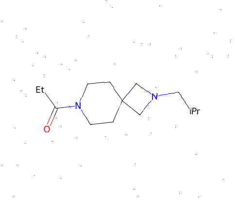 CCC(=O)N1CCC2(CC1)CN(CC(C)C)C2